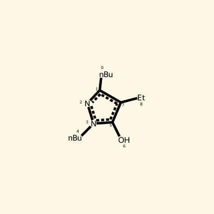 CCCCc1nn(CCCC)c(O)c1CC